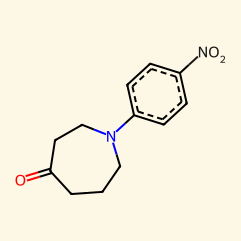 O=C1CCCN(c2ccc([N+](=O)[O-])cc2)CC1